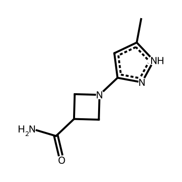 Cc1cc(N2CC(C(N)=O)C2)n[nH]1